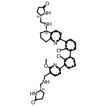 COc1nc(-c2cccc(-c3cccc(-c4ccc5c(n4)CCC[C@H]5NC[C@H]4CCC(=O)N4)c3Cl)c2Cl)ccc1CNC[C@H]1CCC(=O)N1